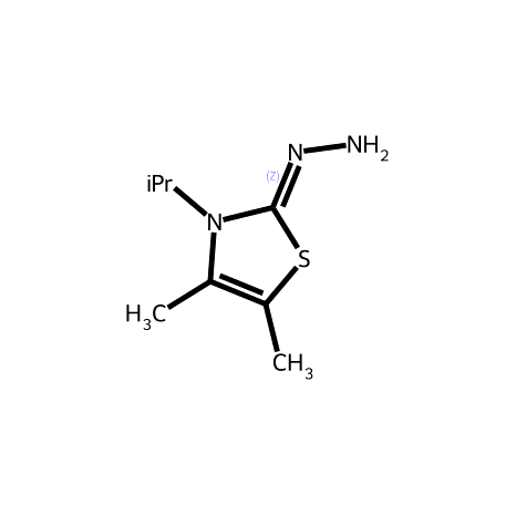 Cc1s/c(=N\N)n(C(C)C)c1C